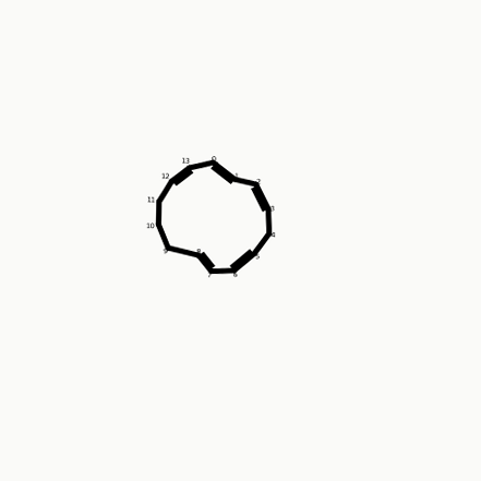 [C]1=C/C=C\C/C=C\C=C\CCC\C=C/1